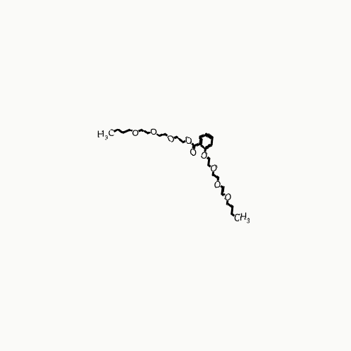 CCCCOCCOCCOCCOC(=O)c1ccccc1OCCOCCOCCOCCCC